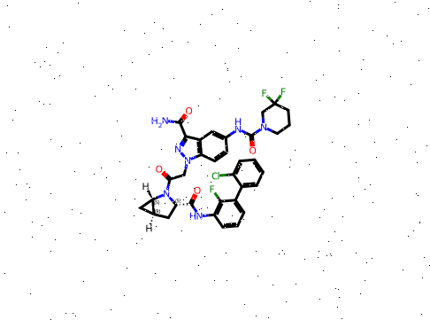 NC(=O)c1nn(CC(=O)N2[C@H](C(=O)Nc3cccc(-c4ccccc4Cl)c3F)C[C@H]3C[C@@H]32)c2ccc(NC(=O)N3CCCC(F)(F)C3)cc12